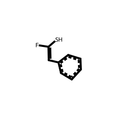 FC(S)=Cc1ccccc1